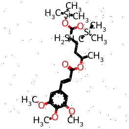 COc1cc(C=CC(=O)OC(C)CC[SiH2]C(O[Si](C)(C)C)O[Si](C)(C)C)cc(OC)c1OC